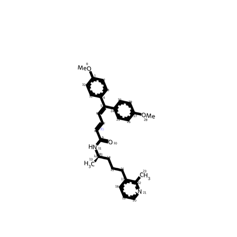 COc1ccc(C(=C/C=C/C(=O)N[C@H](C)CCCc2cccnc2C)c2ccc(OC)cc2)cc1